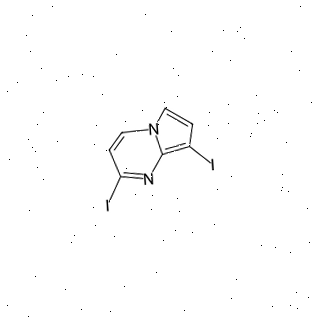 Ic1ccn2ccc(I)c2n1